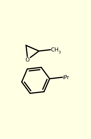 CC(C)c1ccccc1.CC1CO1